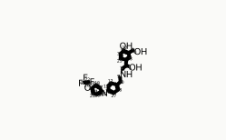 OCc1cc(C(O)CNCCc2ccc(Nc3ccc(OC(F)(F)F)cc3)cc2)ccc1O